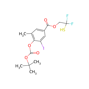 Cc1cc(C(=O)OCC(F)(F)S)cc(I)c1OC(=O)OC(C)(C)C